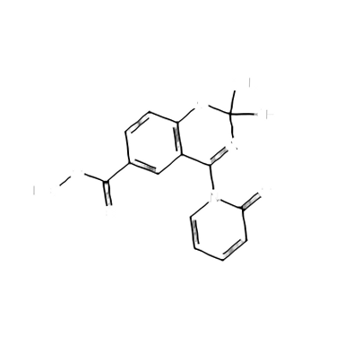 COC(=O)c1ccc2c(c1)C(n1ccccc1=O)=NC(C)(C)O2